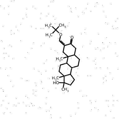 CC(C)(C)O/C=C1/CC2(C)C(CCC3C2CCC2(C)C3CCC2(C)O)CC1=O